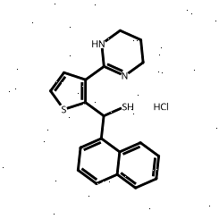 Cl.SC(c1sccc1C1=NCCCN1)c1cccc2ccccc12